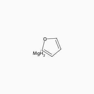 [MgH2].[c]1ccco1